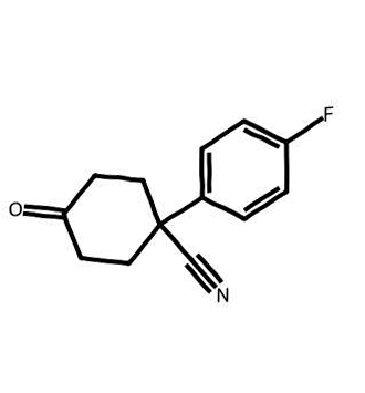 N#CC1(c2ccc(F)cc2)CCC(=O)CC1